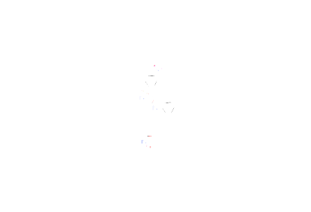 O=C(CCCCC[C@H](NS(=O)(=O)c1ccc([N+](=O)[O-])cc1)C(=O)Nc1ccccc1)NO